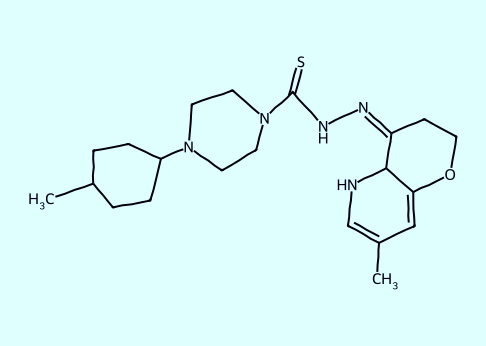 CC1=CNC2C(=C1)OCC/C2=N/NC(=S)N1CCN(C2CCC(C)CC2)CC1